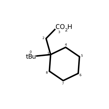 CC(C)(C)C1(CC(=O)O)CCCCC1